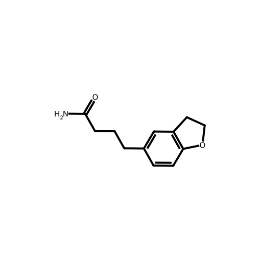 NC(=O)CCCc1ccc2c(c1)CCO2